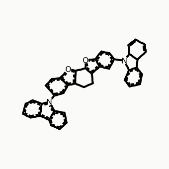 C1=CC2c3ccccc3N(c3ccc4oc5c(c4c3)CCc3c-5oc4ccc(-n5c6ccccc6c6ccccc65)cc34)C2C=C1